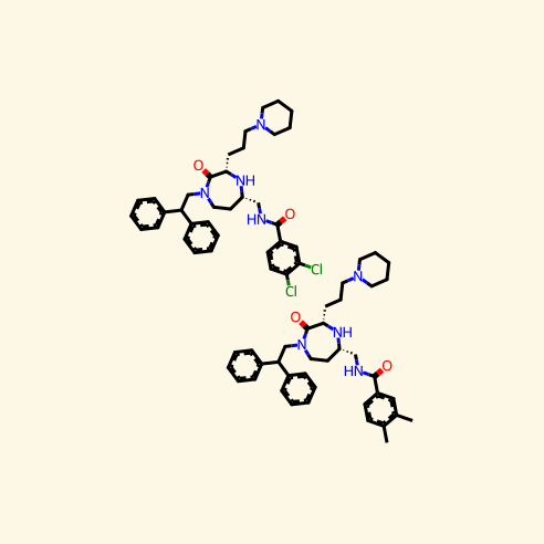 Cc1ccc(C(=O)NC[C@@H]2CCN(CC(c3ccccc3)c3ccccc3)C(=O)[C@H](CCCN3CCCCC3)N2)cc1C.O=C(NC[C@@H]1CCN(CC(c2ccccc2)c2ccccc2)C(=O)[C@H](CCCN2CCCCC2)N1)c1ccc(Cl)c(Cl)c1